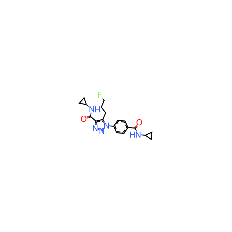 O=C(NC1CC1)c1ccc(-n2nnc(C(=O)NC3CC3)c2CCCF)cc1